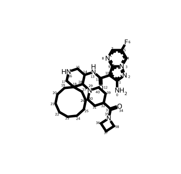 Nc1nn2cc(F)cnc2c1C(=O)NC1CNCC2(CCCCCCCCC2)C1N1CCC(C(=O)N2CCC2)CC1